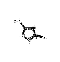 O=[C]c1noc(=O)[nH]1